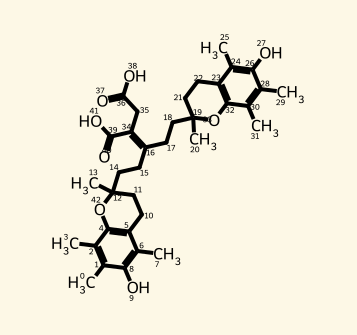 Cc1c(C)c2c(c(C)c1O)CCC(C)(CCC(CCC1(C)CCc3c(C)c(O)c(C)c(C)c3O1)=C(CC(=O)O)C(=O)O)O2